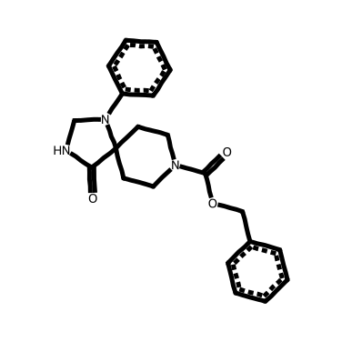 O=C(OCc1ccccc1)N1CCC2(CC1)C(=O)NCN2c1ccccc1